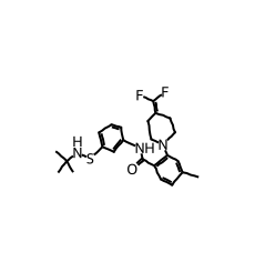 Cc1ccc(C(=O)Nc2cccc(SNC(C)(C)C)c2)c(N2CCC(=C(F)F)CC2)c1